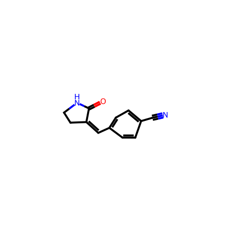 N#Cc1ccc(/C=C2/CCNC2=O)cc1